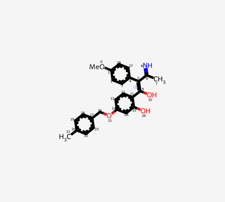 COc1ccc(/C(C(C)=N)=C(/O)c2ccc(OCc3ccc(C)cc3)cc2O)cc1